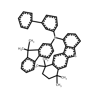 CC1(C)CCC(C)(C)c2cc3c(cc21)sc1cccc(N(c2cccc(-c4ccccc4)c2)c2ccc4c(c2)C(C)(C)c2ccccc2-4)c13